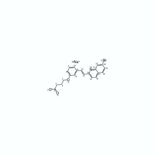 O=C([O-])CCCOc1cccc(C=Cc2ccc3ccc(Br)cc3n2)c1.[Na+]